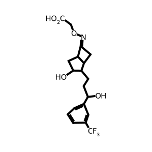 O=C(O)CO/N=C1/CC2C1CC(O)C2CCC(O)c1cccc(C(F)(F)F)c1